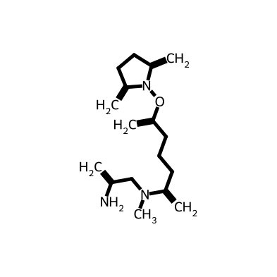 C=C(N)CN(C)C(=C)CCCC(=C)ON1C(=C)CCC1=C